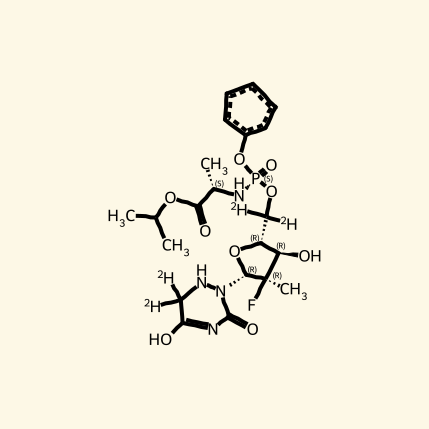 [2H]C1([2H])NN([C@@H]2O[C@H](C([2H])([2H])O[P@@](=O)(N[C@@H](C)C(=O)OC(C)C)Oc3ccccc3)[C@@H](O)[C@@]2(C)F)C(=O)N=C1O